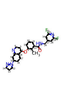 Cc1c(Oc2ccnc3cc(-n4cccn4)ccc23)cccc1C(=O)NCc1cc(F)nc(F)c1